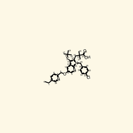 CCc1ccc(COc2cnc3c(c2)c(SC(C)(C)C)c(CC(C)(C)C(=O)O)n3Cc2ccc(Cl)cc2)nc1